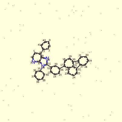 c1ccc(-c2ccnc3c2nc(-c2cccc(-c4ccc5c6c(cccc46)-c4ccccc4-5)c2)n3-c2ccccc2)cc1